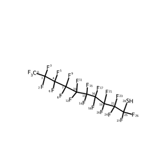 FC(F)(F)C(F)(F)C(F)(F)C(F)(F)C(F)(F)C(F)(F)C(F)(F)C(F)(F)C(F)(F)C(F)(F)S